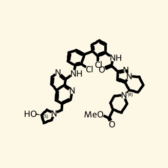 COC(=O)C1CCN([C@@H]2CCCn3nc(C(=O)Nc4cccc(-c5cccc(Nc6nccc7cc(CN8CC[C@H](O)C8)cnc67)c5Cl)c4Cl)cc32)CC1